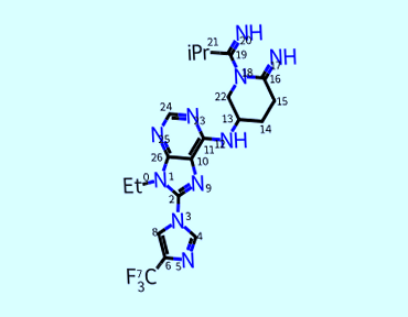 CCn1c(-n2cnc(C(F)(F)F)c2)nc2c(NC3CCC(=N)N(C(=N)C(C)C)C3)ncnc21